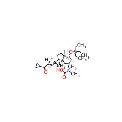 CC[Si](CC)(CC)O[C@H]1CCC[C@]2(C)C(C(C)(C)/C=C/C(=O)C3CC3)CC[C@@H]12.CN(C)C(=O)O